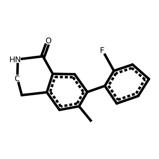 Cc1cc2c(cc1-c1ccccc1F)C(=O)NCC2